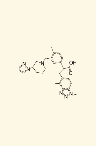 Cc1ccc(C(Cc2ccc3c(nnn3C)c2C)C(=O)O)cc1CN1CCCC(n2cccn2)C1